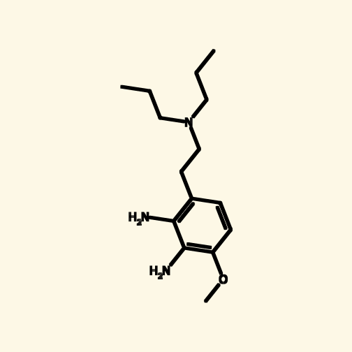 CCCN(CCC)CCc1ccc(OC)c(N)c1N